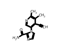 C#Cc1c(-n2ccnc2C(N)=O)cnc(C)c1C